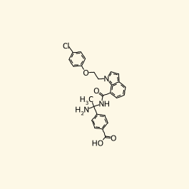 CC(N)(NC(=O)c1cccc2ccn(CCOc3ccc(Cl)cc3)c12)c1ccc(C(=O)O)cc1